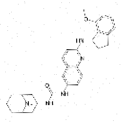 COc1cccc2c1C(Nc1ccc3cc(NC(=O)NC4CC5CCCC(C4)N5C)ccc3n1)CC2